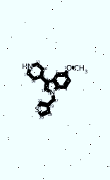 COc1ccc2c(c1)c(C1CCNCC1)cn2Cc1ccsc1